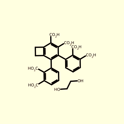 O=C(O)c1cccc(-c2c3c(c(C(=O)O)c(C(=O)O)c2-c2cccc(C(=O)O)c2C(=O)O)CC3)c1C(=O)O.OCCO